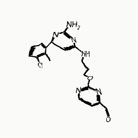 Cc1c(Cl)cccc1-c1cc(NCCCOc2nccc(C=O)n2)nc(N)n1